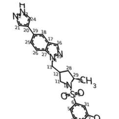 COc1cccc(S(=O)(=O)N2CC(Cn3ncc4cc(-c5cn[nH]c5)ccc43)C[C@H]2C)c1